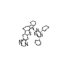 c1ccc(-c2nc(-c3ccccc3)nc(-n3c4ccccc4c4ccc5c6cc7nccnc7cc6sc5c43)n2)cc1